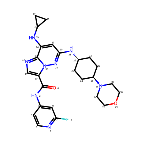 O=C(Nc1ccnc(F)c1)c1cnc2c(NC3CC3)cc(N[C@H]3CC[C@H](N4CCOCC4)CC3)nn12